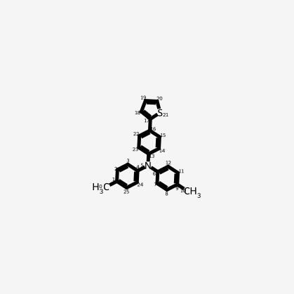 Cc1ccc(N(c2ccc(C)cc2)c2ccc(-c3cccs3)cc2)cc1